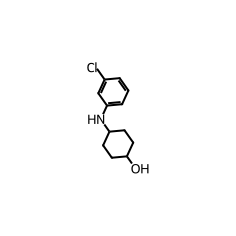 OC1CCC(Nc2cccc(Cl)c2)CC1